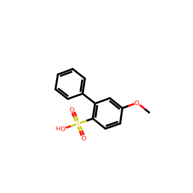 COc1ccc(S(=O)(=O)O)c(-c2ccccc2)c1